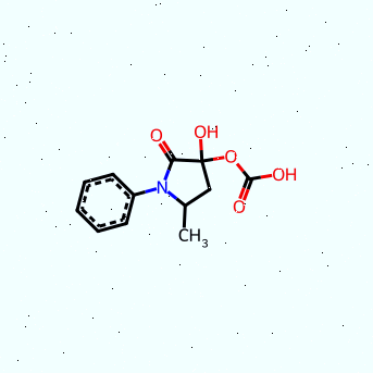 CC1CC(O)(OC(=O)O)C(=O)N1c1ccccc1